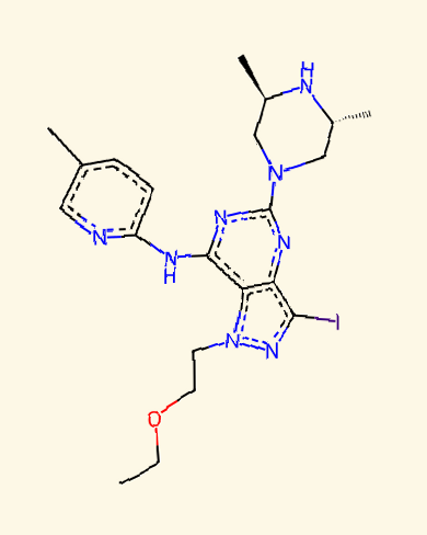 CCOCCn1nc(I)c2nc(N3C[C@@H](C)N[C@H](C)C3)nc(Nc3ccc(C)cn3)c21